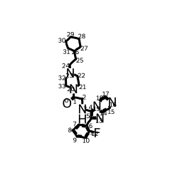 O=C(CNc1c(-c2ccccc2F)nc2cnccn12)N1CCN(CCC2CCCCC2)CC1